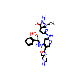 Cn1[nH]c(=O)c2ccc(Nc3cc(N[C@H](CO)c4ccccc4)c(C4=N[C@]5(CCNC5)CO4)cn3)nc21